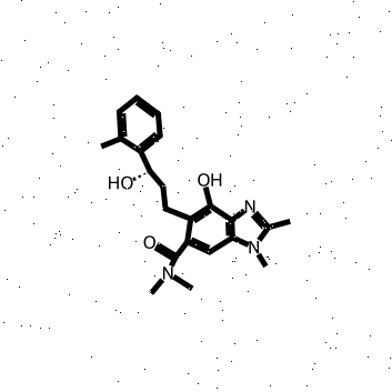 Cc1ccccc1[C@@H](O)CCc1c(C(=O)N(C)C)cc2c(nc(C)n2C)c1O